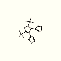 C[Si](C)(C)c1sc([Si](C)(C)C)c(-c2ccsc2)c1-c1ccsc1